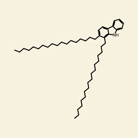 CCCCCCCCCCCCCCCCCCc1ccc2c([nH]c3ccccc32)c1CCCCCCCCCCCCCCCCCC